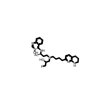 CC(=O)[C@H](CCN(CCCCc1ccc2c(n1)NCCC2)CC(O)CF)Nc1c2ccccc2nc[n+]1O